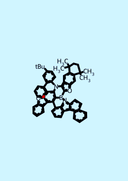 CC(C)(C)c1ccc(N2c3cc4oc5ccccc5c4c4c3B(c3oc5cc6c(cc5c32)C(C)(C)CCC6(C)C)n2c3ccc5ccccc5c3c3cccc-4c32)c(-c2ccccc2)c1